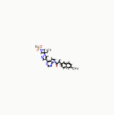 CCS(=O)(=O)N1CC(CC#N)(n2cc(-c3ncnc4c3ccn4C(=O)C(C)c3ccc4cc(OC)ccc4c3)cn2)C1